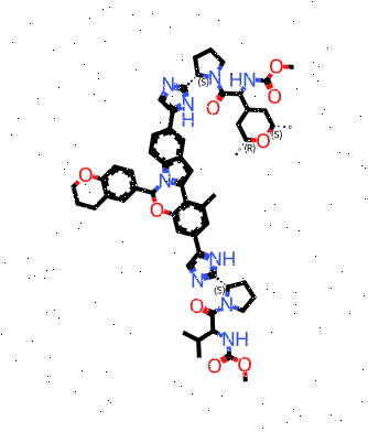 COC(=O)NC(C(=O)N1CCC[C@H]1c1ncc(-c2cc(C)c3c(c2)OC(c2ccc4c(c2)CCCO4)n2c-3cc3cc(-c4cnc([C@@H]5CCCN5C(=O)C(NC(=O)OC)C5C[C@@H](C)O[C@@H](C)C5)[nH]4)ccc32)[nH]1)C(C)C